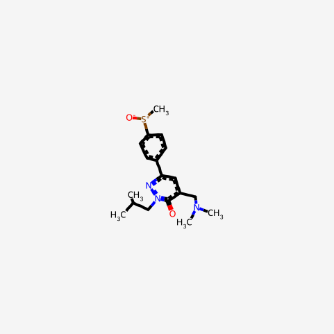 CC(C)Cn1nc(-c2ccc([S+](C)[O-])cc2)cc(CN(C)C)c1=O